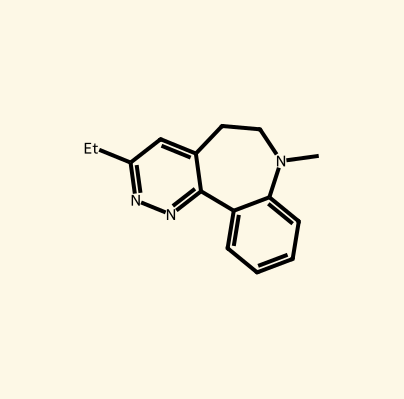 CCc1cc2c(nn1)-c1ccccc1N(C)CC2